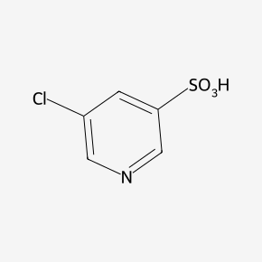 O=S(=O)(O)c1cncc(Cl)c1